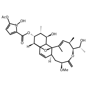 C=C1O[C@H]([C@@H](C)O)[C@H](C)/C=C(\C)[C@]23O[C@@H]4C(C=C[C@@H]2C[C@@H]1OC)C3[C@H](O)[C@@H](C)[C@H]4OC(=O)c1ccc(OC(C)=O)n1O